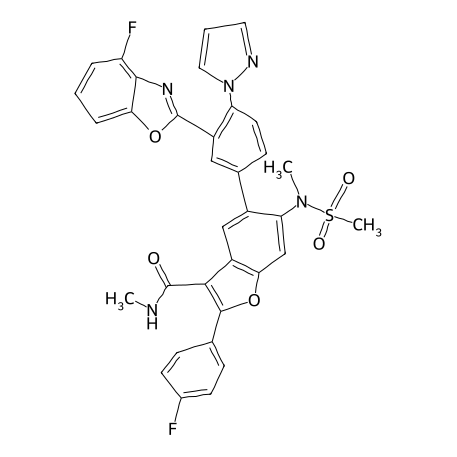 CNC(=O)c1c(-c2ccc(F)cc2)oc2cc(N(C)S(C)(=O)=O)c(-c3ccc(-n4cccn4)c(-c4nc5c(F)cccc5o4)c3)cc12